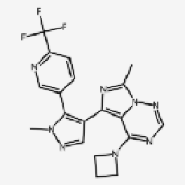 Cc1nc(-c2cnn(C)c2-c2ccc(C(F)(F)F)nc2)c2c(N3CCC3)ncnn12